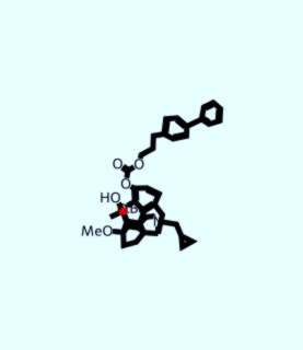 COC12CCC3(CC1C(C)(O)C(C)(C)C)C1Cc4ccc(OC(=O)OCCCc5ccc(-c6ccccc6)cc5)c5c4C3(CCN1CC1CC1)C2O5